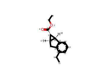 CCOC(=O)[C@H]1[C@@H]2Cc3c(CC)cccc3[C@@H]21